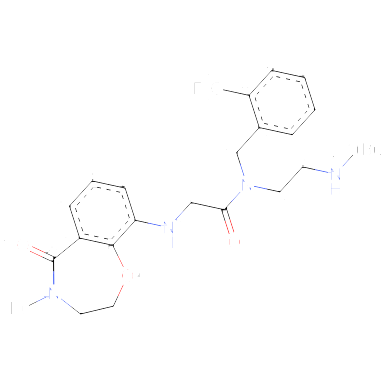 CCN1CCOc2c(NCC(=O)N(CCNC(C)(C)C)Cc3ccccc3C(F)(F)F)cccc2C1=O